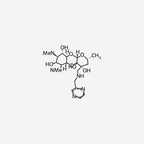 CN[C@@H]1[C@H](O)[C@H](NC)[C@H]2O[C@]3(O)[C@H](O[C@@H]2[C@H]1O)O[C@H](C)C[C@@]3(O)CNCc1cnccn1